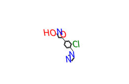 Oc1cc(-c2ccc(Cn3ccnc3)c(Cl)c2)on1